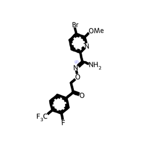 COc1nc(/C(N)=N/OCC(=O)c2ccc(C(F)(F)F)c(F)c2)ccc1Br